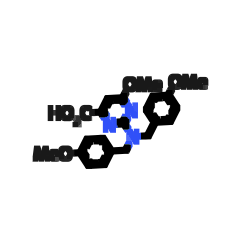 COc1ccc(CN(Cc2ccc(OC)cc2)c2nc(OC)cc(C(=O)O)n2)cc1